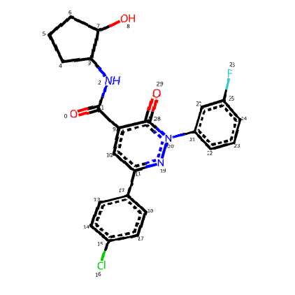 O=C(NC1CCCC1O)c1cc(-c2ccc(Cl)cc2)nn(-c2cccc(F)c2)c1=O